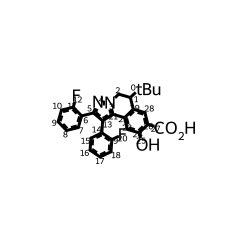 CC(C)(C)C1Cn2nc(-c3ccccc3F)c(-c3ccccc3F)c2-c2cc(O)c(C(=O)O)cc21